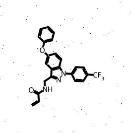 C=CC(=O)NCc1nn(-c2ccc(C(F)(F)F)cc2)c2ccc(Oc3ccccc3)cc12